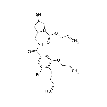 C=CCOC(=O)N1CC(S)CC1CNC(=O)c1cc(Br)c(OCC=C)c(OCC=C)c1